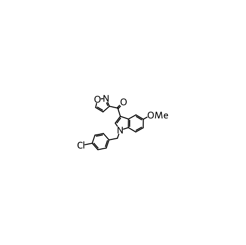 COc1ccc2c(c1)c(C(=O)c1ccon1)cn2Cc1ccc(Cl)cc1